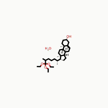 CCOC(OCC)(OCC)C(C)CCC[C@@H](C)[C@H]1CC[C@H]2[C@@H]3CC=C4C[C@@H](O)CC[C@]4(C)[C@H]3CC[C@]12C.O